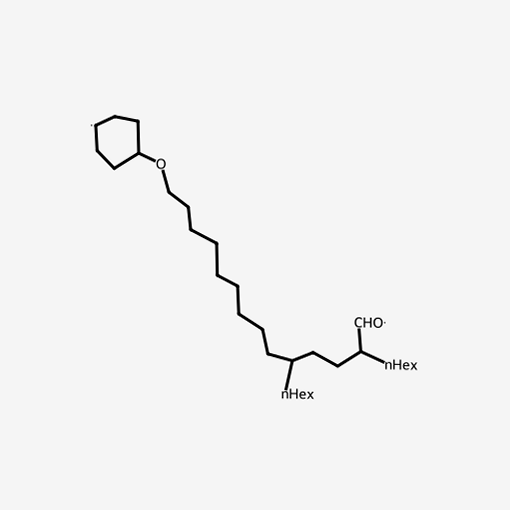 CCCCCCC([C]=O)CCC(CCCCCC)CCCCCCCCCOC1CC[CH]CC1